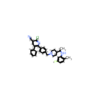 C=C(Nc1cc(F)ccc1C)C1CCN(Cc2ccc(-c3nc(Cl)c(C#N)cc3-c3ccccc3)cc2)CC1